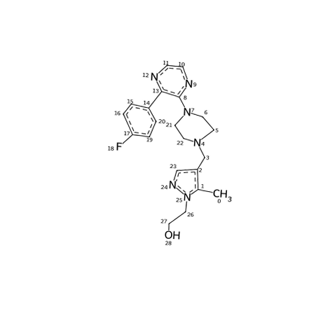 Cc1c(CN2CCN(c3nccnc3-c3ccc(F)cc3)CC2)cnn1CCO